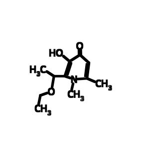 CCOC(C)c1c(O)c(=O)cc(C)n1C